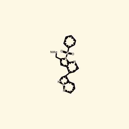 CNCc1cc2c(-c3cnn4ncccc34)ccnc2n1S(=O)(=O)c1ccccc1